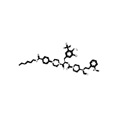 CCCCCCOC(=O)c1ccc(N2CCN(C(=O)[C@@H](Cc3cc(Cl)c(N)c(C(F)(F)F)c3)OC(=O)N3CCC(N(C=O)CCc4ccccc4NC)CC3)CC2)cc1